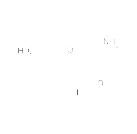 C[C@@H](CI)OC(N)=O